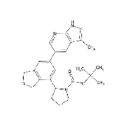 Cc1c[nH]c2ncc(-c3cc4c(c(C5CCCN5C(=O)OC(C)(C)C)c3)COC4)cc12